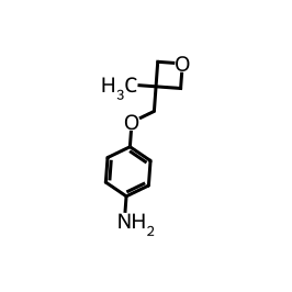 CC1(COc2ccc(N)cc2)COC1